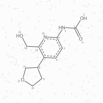 O=C(O)Nc1ccc(C2CCOC2)c(CO)n1